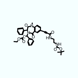 CCOC(=O)CC(c1ccccc1)N1C(=O)c2cc(C#CC(=O)NCCNC(=O)OC(C)(C)C)ccc2N(C)C(=O)C1c1ccccc1